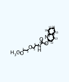 COCCOCCNC(=O)Oc1ccc2ccccc2n1